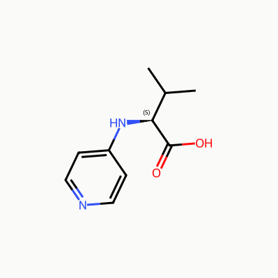 CC(C)[C@H](Nc1ccncc1)C(=O)O